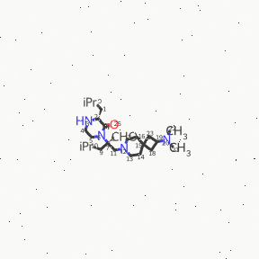 CC(C)C[C@@H]1NCCN([C@](C=O)(CC(C)C)CN2CCC3(CC2)CC(N(C)C)C3)C1=O